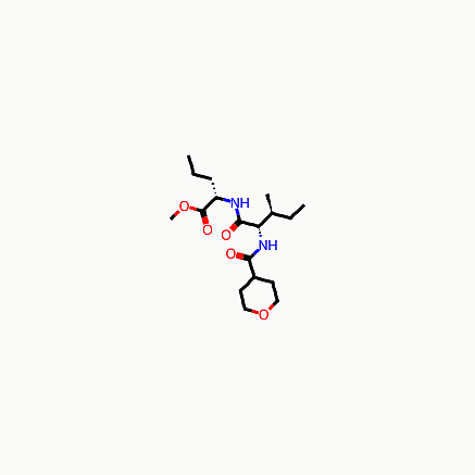 CCC[C@H](NC(=O)[C@@H](NC(=O)C1CCOCC1)[C@@H](C)CC)C(=O)OC